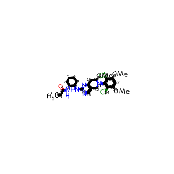 C=CC(=O)NC1CCCCC1Nc1ncc2c(n1)CC(OC)N(c1c(Cl)c(OC)cc(OC)c1Cl)C2